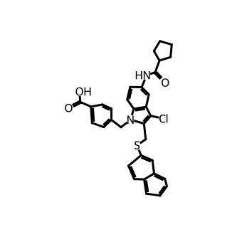 O=C(O)c1ccc(Cn2c(CSc3ccc4ccccc4c3)c(Cl)c3cc(NC(=O)C4CCCC4)ccc32)cc1